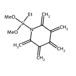 C=C1C(=C)C(=C)N([Si](CC)(OC)OC)C(=C)C1=C